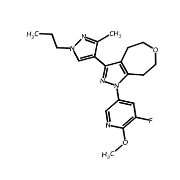 CCCn1cc(-c2nn(-c3cnc(OC)c(F)c3)c3c2CCOCC3)c(C)n1